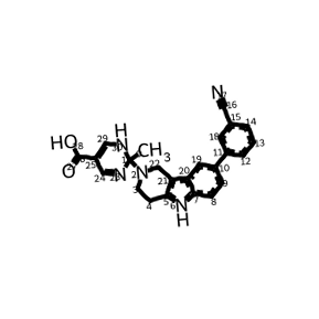 CC1(N2CCc3[nH]c4ccc(-c5cccc(C#N)c5)cc4c3C2)N=CC(C(=O)O)=CN1